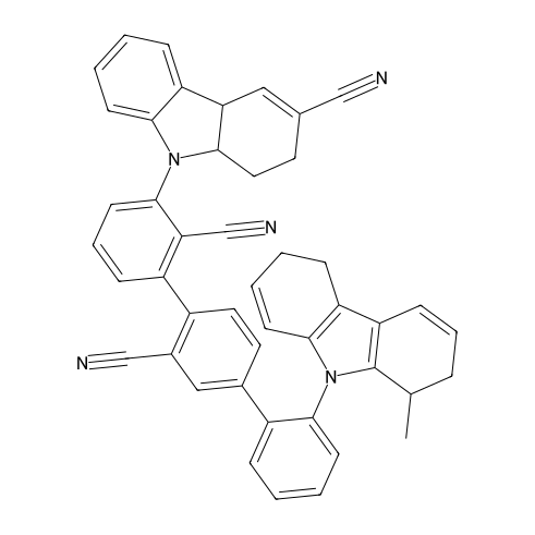 CC1CC=Cc2c3c(n(-c4ccccc4-c4ccc(-c5cccc(N6c7ccccc7C7C=C(C#N)CCC76)c5C#N)c(C#N)c4)c21)C=CCC3